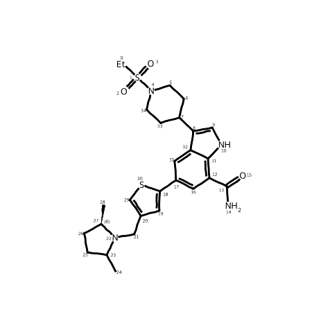 CCS(=O)(=O)N1CCC(c2c[nH]c3c(C(N)=O)cc(-c4cc(CN5C(C)CC[C@H]5C)cs4)cc23)CC1